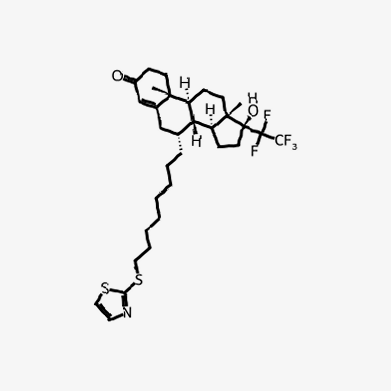 C[C@]12CCC(=O)C=C1C[C@@H](CCCCCCCCSc1nccs1)[C@@H]1[C@@H]2CC[C@@]2(C)[C@H]1CC[C@@]2(O)C(F)(F)C(F)(F)F